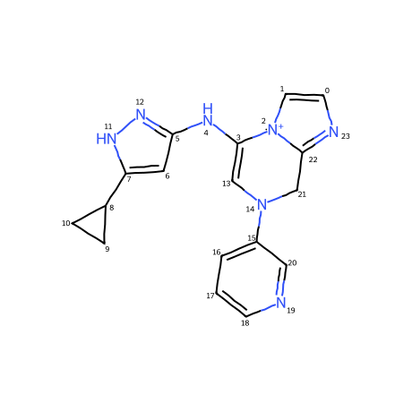 C1=C[N+]2C(Nc3cc(C4CC4)[nH]n3)=CN(c3cccnc3)CC2=N1